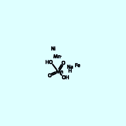 [Fe].[Mn].[NaH].[Ni].[O]=[Mn](=[O])([OH])[OH]